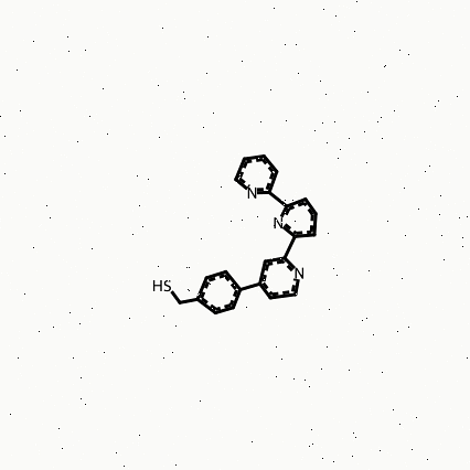 SCc1ccc(-c2ccnc(-c3cccc(-c4ccccn4)n3)c2)cc1